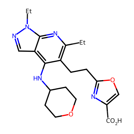 CCc1nc2c(cnn2CC)c(NC2CCOCC2)c1CCc1nc(C(=O)O)co1